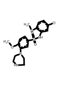 COc1ccc(Cl)cc1NS(=O)(=O)c1ccc(OC)c(N2CCNCC2)c1